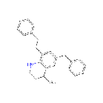 CC(C)(C)C1CCNc2c(CCc3ccccc3)cc(Cc3ccccc3)cc21